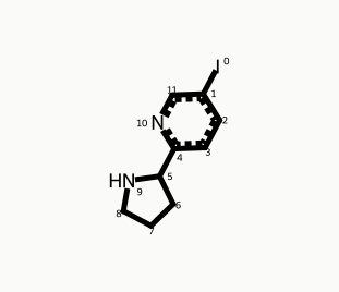 Ic1ccc(C2CCCN2)nc1